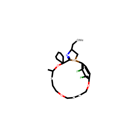 COCC1C[SH]2C(=N1)C1(CCCCC1)OC(C)CCCOCCCCOc1ccc2c(F)c1F